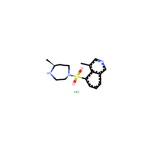 Cc1cncc2cccc(S(=O)(=O)N3CCN[C@@H](C)CC3)c12.Cl